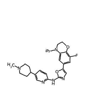 CC(C)N1CCOc2c(F)cc(-c3cnc(Nc4ccc(C5CCN(C)CC5)cn4)o3)cc21